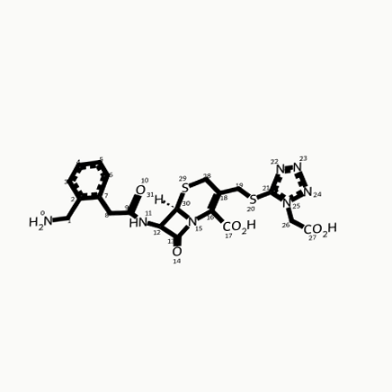 NCc1ccccc1CC(=O)NC1C(=O)N2C(C(=O)O)=C(CSc3nnnn3CC(=O)O)CS[C@H]12